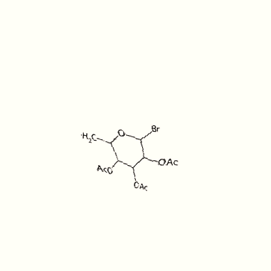 [CH2]C1OC(Br)C(OC(C)=O)C(OC(C)=O)C1OC(C)=O